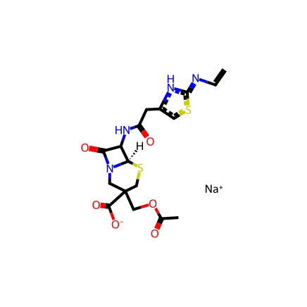 C=CN=c1[nH]c(CC(=O)NC2C(=O)N3CC(COC(C)=O)(C(=O)[O-])CS[C@H]23)cs1.[Na+]